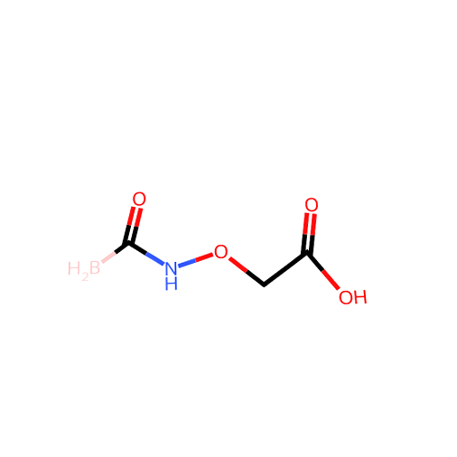 BC(=O)NOCC(=O)O